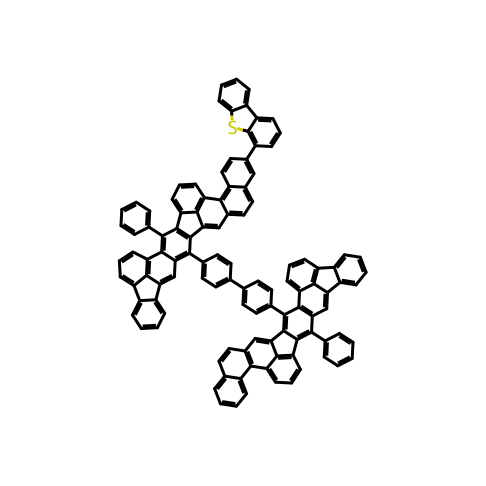 c1ccc(-c2c3cc4c5ccccc5c5cccc(c3c(-c3ccc(-c6ccc(-c7c8cc9c%10ccccc%10c%10cccc(c8c(-c8ccccc8)c8c%11cccc%12c%13c(ccc%14cc(-c%15cccc%16c%15sc%15ccccc%15%16)ccc%14%13)cc(c78)c%11%12)c%109)cc6)cc3)c3c6cc7ccc8ccccc8c7c7cccc(c23)c67)c54)cc1